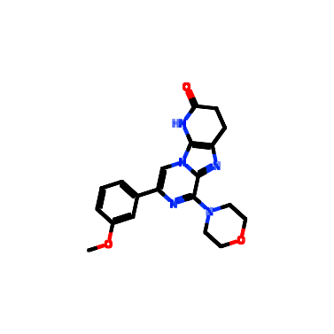 COc1cccc(-c2cn3c4c(nc3c(N3CCOCC3)n2)CCC(=O)N4)c1